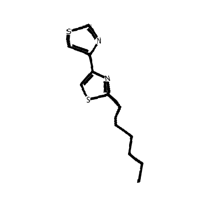 CCCCCCc1nc(-c2cs[c]n2)cs1